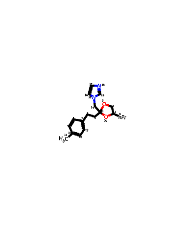 CCCC1COC(CCc2ccc(C)cc2)(Cn2ccnc2)O1